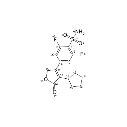 NS(=O)(=O)c1c(F)cc(C2=C(C3CCCC3)C(=O)OC2)cc1F